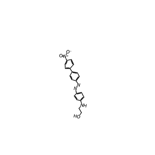 O=[N+]([O-])c1ccc(-c2ccc(N=Nc3ccc(NCCO)cc3)cc2)cc1